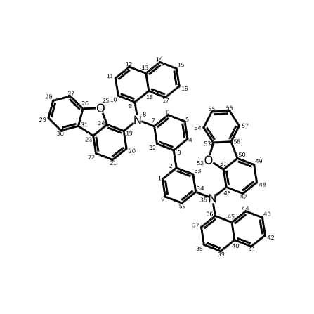 c1cc(-c2cccc(N(c3cccc4ccccc34)c3cccc4c3oc3ccccc34)c2)cc(N(c2cccc3ccccc23)c2cccc3c2oc2ccccc23)c1